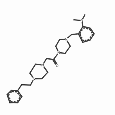 CN(C)c1ccccc1CN1CCN(C(=O)CN2CCN(CCc3ccccc3)CC2)CC1